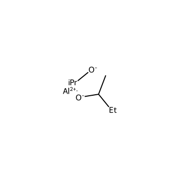 CC(C)[O-].CCC(C)[O-].[Al+2]